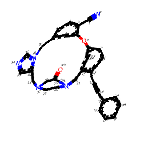 N#Cc1ccc2cc1Oc1ccc(C#Cc3ccccc3)c(c1)CN1CCN(CC1=O)Cc1cncn1C2